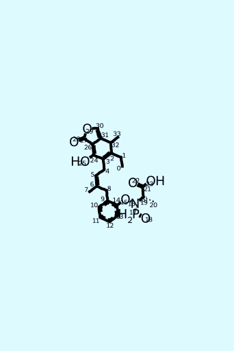 CCC1=C(CC=C(C)Cc2ccccc2ON([PH2]=O)[C@@H](C)C(=O)O)C(O)=C2C(=O)OC=C2C1C